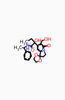 CC[C@@](O)(C(=O)N[C@H](C)c1ccccc1)c1cc2n(c(=O)c1CO)CCC21OCCO1